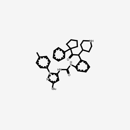 Cc1ccc(-n2nc(C(C)(C)C)cc2NC(=O)Nc2ccccc2C(C(=O)C2(c3ccccc3)CCCC2)C2CCNCC2)cc1